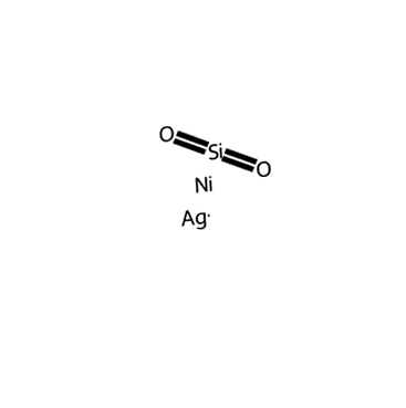 O=[Si]=O.[Ag].[Ni]